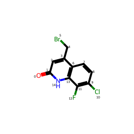 O=c1cc(CBr)c2ccc(Cl)c(F)c2[nH]1